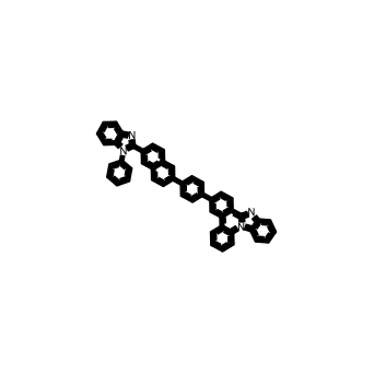 c1ccc(-n2c(-c3ccc4cc(-c5ccc(-c6ccc7c(c6)c6ccccc6n6c8ccccc8nc76)cc5)ccc4c3)nc3ccccc32)cc1